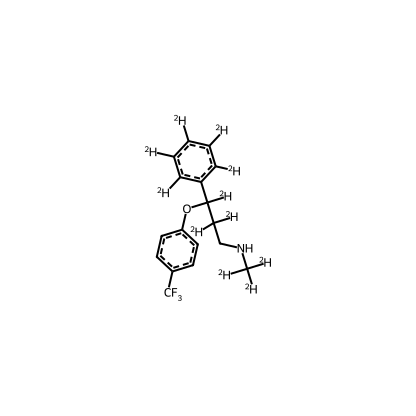 [2H]c1c([2H])c([2H])c(C([2H])(Oc2ccc(C(F)(F)F)cc2)C([2H])([2H])CNC([2H])([2H])[2H])c([2H])c1[2H]